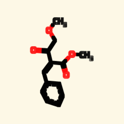 COCC(=O)C(=Cc1ccccc1)C(=O)OC